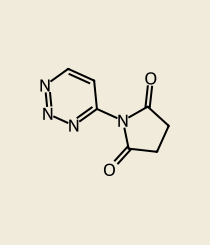 O=C1CCC(=O)N1c1ccnnn1